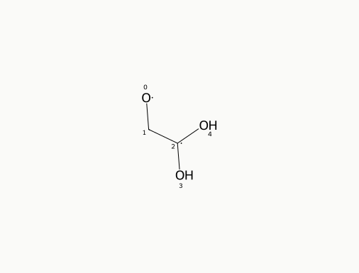 [O]C[C](O)O